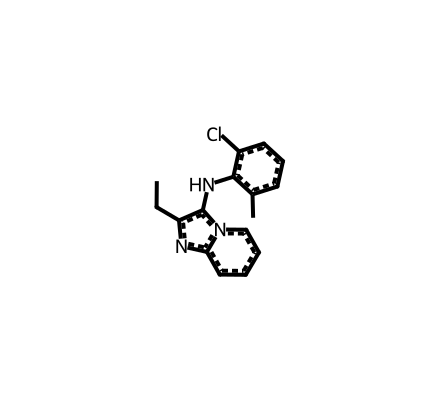 CCc1nc2ccccn2c1Nc1c(C)cccc1Cl